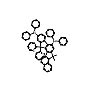 CC1(C)c2cc(N(c3ccccc3)c3ccccc3)c3c(c2-c2ccc4ccccc4c21)C(c1ccccn1)(c1ccccn1)c1cc(N(c2ccccc2)c2ccccc2)ccc1-3